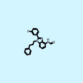 O=CNc1cccc2c1nc(-c1cccc(F)c1)n2CCCc1ccccc1